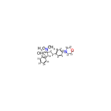 CN(C)C(C=O)(CCc1ccc(N2CCOCC2)cc1)Cc1ccccc1